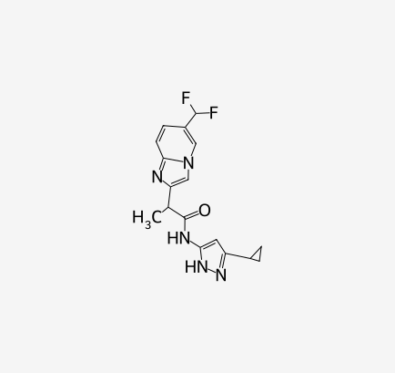 CC(C(=O)Nc1cc(C2CC2)n[nH]1)c1cn2cc(C(F)F)ccc2n1